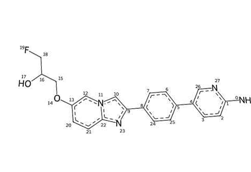 Nc1ccc(-c2ccc(-c3cn4cc(OCC(O)CF)ccc4n3)cc2)cn1